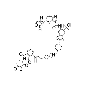 CC(C)(O)c1cc2nc([C@H]3CC[C@H](CN4CC5(CC(CCNc6cccc7c6C(=O)N(C6CCC(=O)NC6=O)C7=O)C5)C4)CC3)sc2cc1NC(=O)c1cnn2ccc(N3C[C@H]4C[C@@H]3CO4)nc12